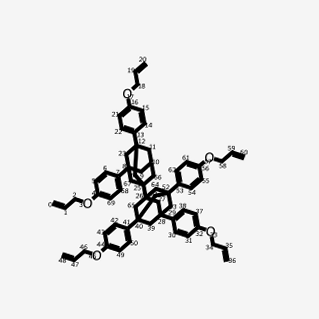 C=CCOc1ccc(C23CC4CC(c5ccc(OCC=C)cc5)(C2)CC(C25CC6(c7ccc(OCC=C)cc7)CC(c7ccc(OCC=C)cc7)(CC(c7ccc(OCC=C)cc7)(C6)C2)C5)(C4)C3)cc1